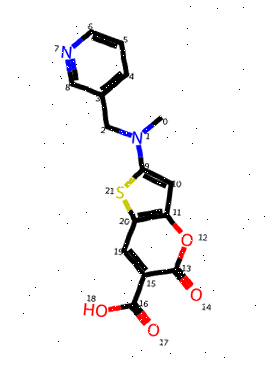 CN(Cc1cccnc1)c1cc2oc(=O)c(C(=O)O)cc2s1